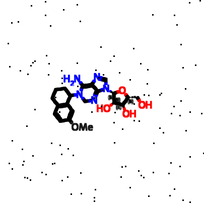 COc1ccc2c(c1)C(N1CN=c3c(ncn3[C@@H]3O[C@H](CO)[C@@H](O)[C@H]3O)=C1N)CCC2